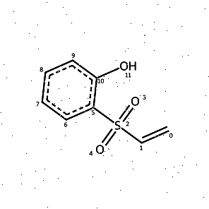 C=CS(=O)(=O)c1ccccc1O